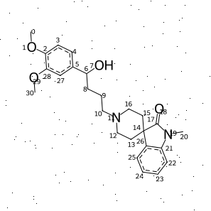 COc1ccc(C(O)CCCN2CCC3(CC2)C(=O)N(C)c2ccccc23)cc1OC